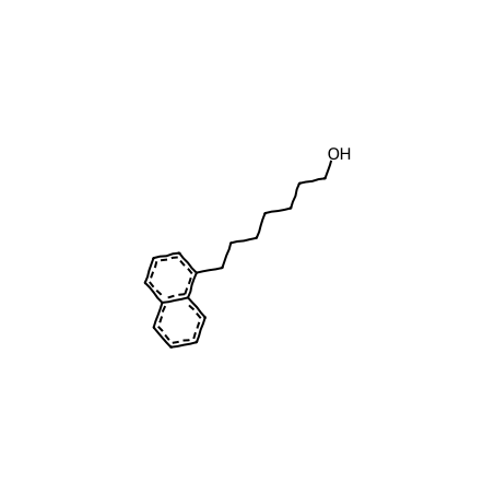 OCCCCCCCc1cccc2ccccc12